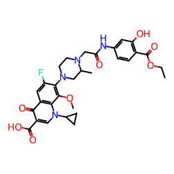 CCOC(=O)c1ccc(NC(=O)CN2CCN(c3c(F)cc4c(=O)c(C(=O)O)cn(C5CC5)c4c3OC)CC2C)cc1O